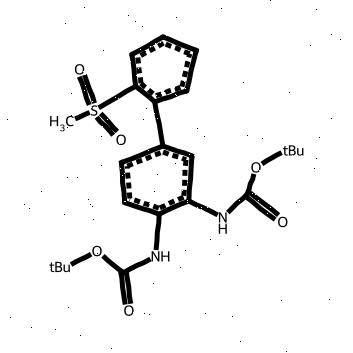 CC(C)(C)OC(=O)Nc1ccc(-c2ccccc2S(C)(=O)=O)cc1NC(=O)OC(C)(C)C